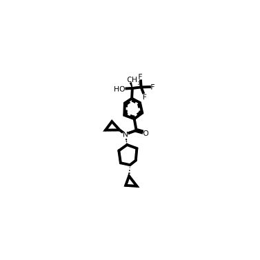 C[C@](O)(c1ccc(C(=O)N(C2CC2)[C@H]2CC[C@@H](C3CC3)CC2)cc1)C(F)(F)F